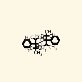 CC(C)C(OOC(c1ccccc1)(C(C)C)C(C)(C)C)(c1ccccc1)C(C)(C)C